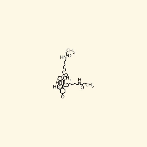 C=CC(=O)NCCCCOCC(=O)[C@H]1CC[C@H]2[C@@H]3CCC4=CC(=O)CC[C@]4(C)[C@H]3C(OCCCCNC(=O)C=C)C[C@]12C